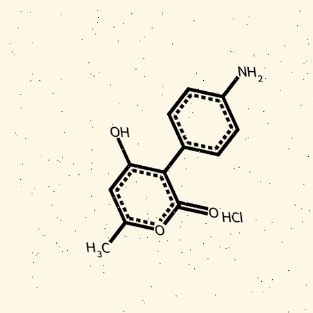 Cc1cc(O)c(-c2ccc(N)cc2)c(=O)o1.Cl